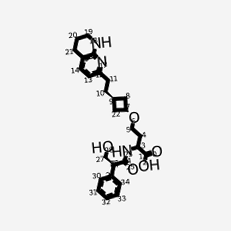 O=C(O)C(CCO[C@H]1C[C@H](CCc2ccc3c(n2)NCCC3)C1)NC(=O)[C@H](CO)c1ccccc1